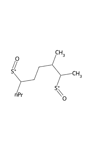 CCCC(CCC(C)C(C)[S+]=O)[S+]=O